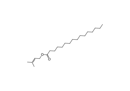 CCCCCCCCCCCCCCCC(=O)OCC=C(C)C